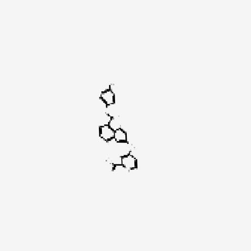 O=C(O)c1cc(Oc2ccc3c(C(=O)Nc4ccc(Cl)cc4)cccc3c2)ccn1